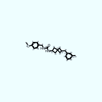 COc1ccc(CNC(=O)NC2CC3(CC(Cc4cccc(C)c4)C3)C2)cc1